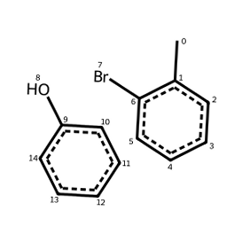 Cc1ccccc1Br.Oc1ccccc1